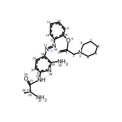 C=C(CN1CCCCC1)Oc1ccccc1/N=N/c1ccc(NC(=O)[C@H](C)N)nc1N